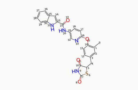 Cc1cc(CC2SC(=O)NC2=O)ccc1Oc1ccc(NC(=O)c2cc3ccccc3[nH]2)cn1